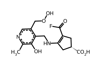 Cc1ncc(COO)c(CNC2=C(C(=O)F)C[C@H](C(=O)O)C2)c1O